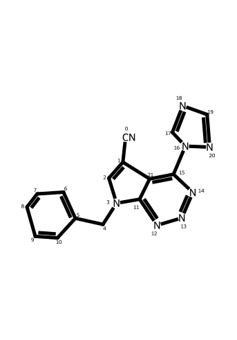 N#Cc1cn(Cc2ccccc2)c2nnnc(-n3cncn3)c12